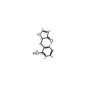 O=C1N=COC1Cc1ccccc1O